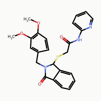 COc1ccc(CN2C(=O)c3ccccc3C2SCC(=O)Nc2ccccn2)cc1OC